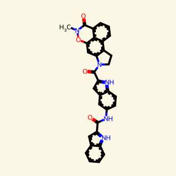 CN1Oc2cc3c(c4cccc(c24)C1=O)CCN3C(=O)c1cc2cc(NC(=O)c3cc4ccccc4[nH]3)ccc2[nH]1